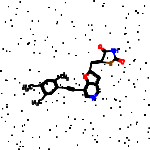 Cc1cc(C)c(C#Cc2cncc3cc(/C=C4\SC(=O)NC4=O)oc23)cc1C